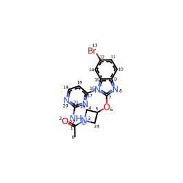 CC(=O)N1CC(Oc2nc3ccc(Br)cc3n2-c2ccnc(N)n2)C1